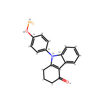 O=C1CCCc2c1c1ccccc1n2-c1ccc(OP)cc1